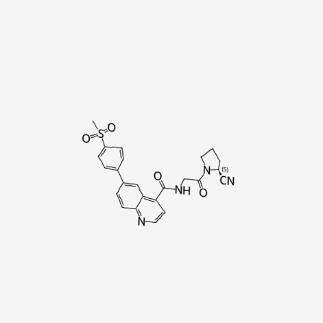 CS(=O)(=O)c1ccc(-c2ccc3nccc(C(=O)NCC(=O)N4CCC[C@H]4C#N)c3c2)cc1